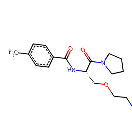 NCCOC[C@H](NC(=O)c1ccc(C(F)(F)F)cc1)C(=O)N1CCCC1